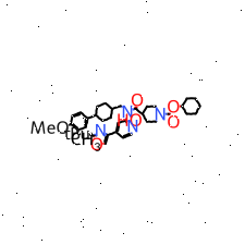 COc1ccc(C2CCC(CN(C(=O)C3(O)CCN(C(=O)OC4CCCCC4)CC3)c3cc(-c4coc(C(C)(C)C)n4)ccn3)CC2)cc1C